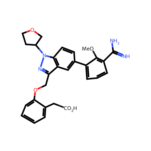 COc1c(C(=N)N)cccc1-c1ccc2c(c1)c(COc1ccccc1CC(=O)O)nn2C1CCOC1